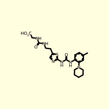 Cc1ccc(NC(=O)Nc2ncc(CCNC(=O)NCC(=O)O)s2)c(N2CCCCC2)c1